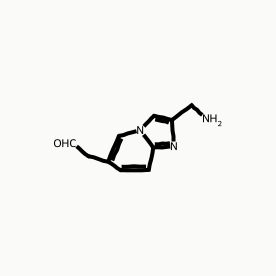 NCc1cn2cc(CC=O)ccc2n1